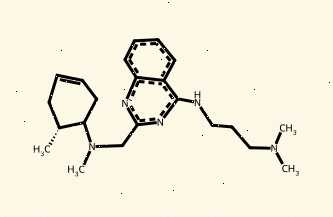 C[C@@H]1CC=CCC1N(C)Cc1nc(NCCCN(C)C)c2ccccc2n1